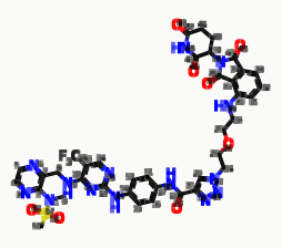 CN(c1nccnc1CNc1nc(Nc2ccc(NC(=O)c3cn(CCOCCNc4cccc5c4C(=O)N(C4CCC(=O)NC4=O)C5=O)nn3)cc2)ncc1C(F)(F)F)S(C)(=O)=O